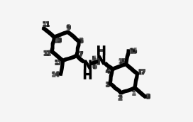 CC1CCC(NNC2CCC(C)CC2C)C(C)C1